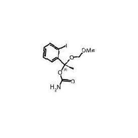 COCO[C@](C)(OC(N)=O)c1ccccc1I